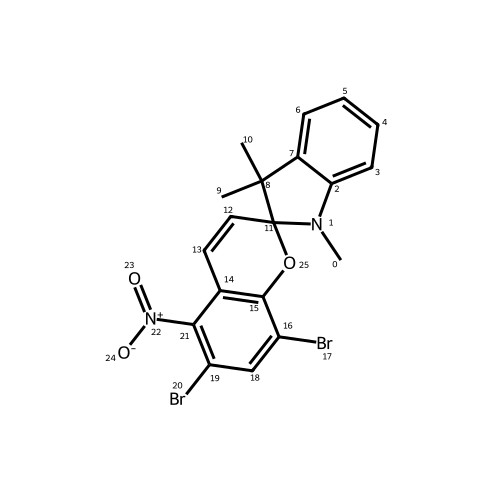 CN1c2ccccc2C(C)(C)C12C=Cc1c(c(Br)cc(Br)c1[N+](=O)[O-])O2